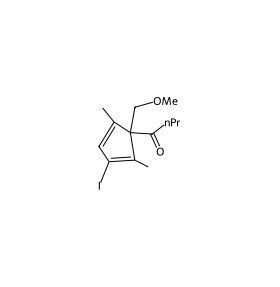 CCCC(=O)C1(COC)C(C)=CC(I)=C1C